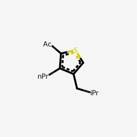 CCCc1c(CC(C)C)csc1C(C)=O